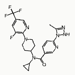 Cc1n[nH]n1-c1ccc(C(=O)N(C2CC2)C2CCN(c3ncc(C(F)(F)F)cc3F)CC2)cn1